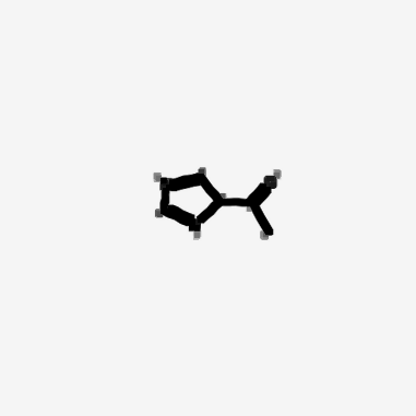 CC(=O)C1C=NC=N1